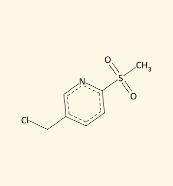 CS(=O)(=O)c1ccc(CCl)cn1